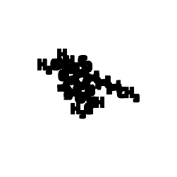 CCCCCCc1c(OC)c(OC(=O)NC)c2ccccc2c1OC(=O)NC